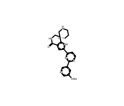 COc1cncc(-c2nccc(-c3cc4c([nH]3)[C@@]3(CCCNC3)CNC4=O)n2)c1